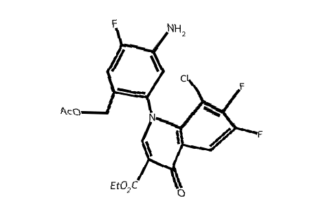 CCOC(=O)c1cn(-c2cc(N)c(F)cc2COC(C)=O)c2c(Cl)c(F)c(F)cc2c1=O